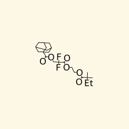 CCC(C)(C)C(=O)OCCOC(=O)C(F)(F)COC(=O)C12CC3CC(CC(C3)C1)C2